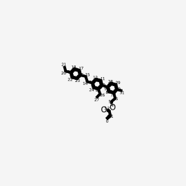 C=CC(=O)OCCc1cc(-c2ccc(CCc3ccc(CC)cc3)cc2CC)ccc1C